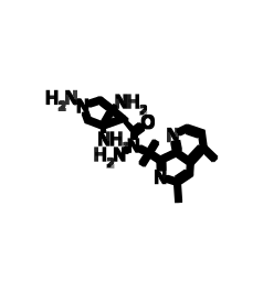 Cc1cc2c(C)ccnc2c(C(C)(C)N(N)C(=O)[C@H]2[C@]3(N)CN(N)C[C@]23N)n1